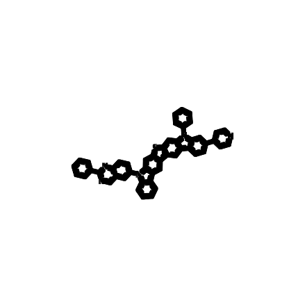 c1ccc(-c2ncc3cc(-n4c5ccccc5c5cc6c(cc54)sc4cc5c(cc46)c4ccc(-c6ccncc6)cc4n5-c4ccccc4)ccc3n2)cc1